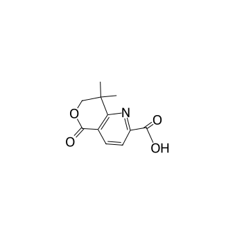 CC1(C)COC(=O)c2ccc(C(=O)O)nc21